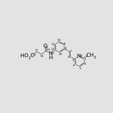 Cc1cccc(C=Cc2cccc(NC(=O)CCC(=O)O)c2)n1